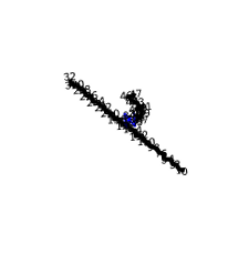 CCCCCCCCCCCCCCCCC(CCCCCCCCCCCCCCCC)N(C)CC(C)(C)CC(C)(C)CCC(C)C